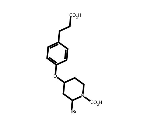 CC(C)(C)C1CC(Oc2ccc(CCC(=O)O)cc2)CCN1C(=O)O